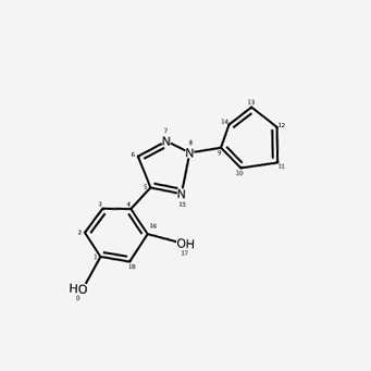 Oc1ccc(-c2cnn(-c3ccccc3)n2)c(O)c1